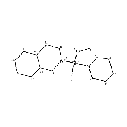 CO[Si](I)(N1CCCCC1)N1CCC2CCCCC2C1